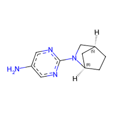 Nc1cnc(N2C[C@H]3CC[C@@H]2C3)nc1